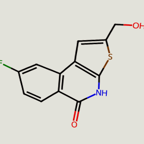 O=c1[nH]c2sc(CO)cc2c2cc(F)ccc12